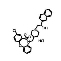 Cl.O=S1(=O)c2cc(Cl)ccc2Oc2ccccc2N1CC1CCN(C[C@H](O)c2ccc3ccccc3c2)CC1